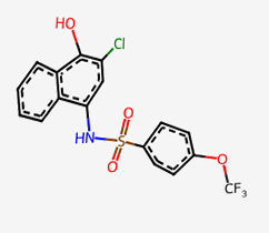 O=S(=O)(Nc1cc(Cl)c(O)c2ccccc12)c1ccc(OC(F)(F)F)cc1